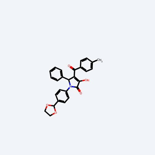 Cc1ccc(C(=O)C2=C(O)C(=O)N(c3ccc(C4OCCO4)cc3)C2c2ccccc2)cc1